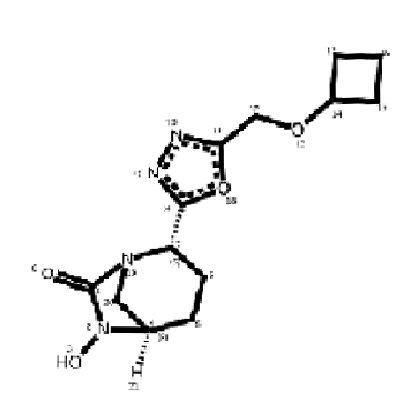 O=C1N(O)[C@@H]2CC[C@@H](c3nnc(COC4CCC4)o3)N1C2